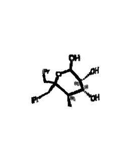 CC(C)CC1(CC(C)C)OC(O)[C@H](O)[C@H](O)[C@H]1C